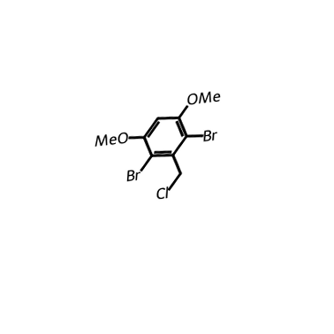 COc1cc(OC)c(Br)c(CCl)c1Br